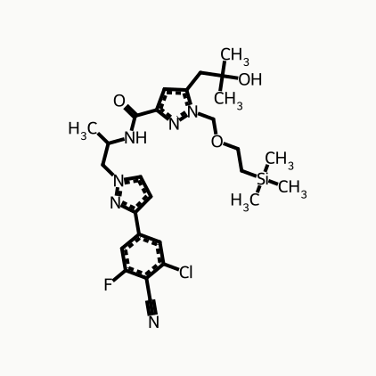 CC(Cn1ccc(-c2cc(F)c(C#N)c(Cl)c2)n1)NC(=O)c1cc(CC(C)(C)O)n(COCC[Si](C)(C)C)n1